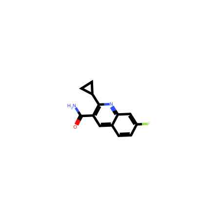 NC(=O)c1cc2ccc(F)cc2nc1C1CC1